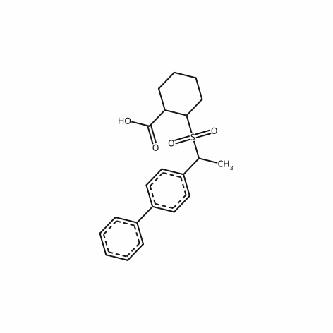 CC(c1ccc(-c2ccccc2)cc1)S(=O)(=O)C1CCCCC1C(=O)O